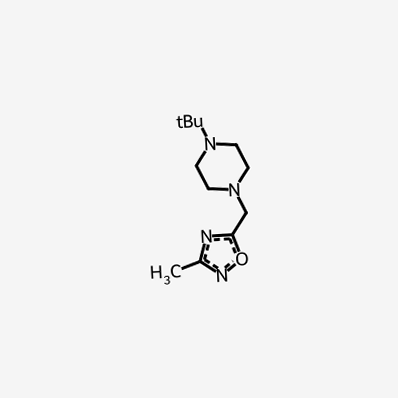 Cc1noc(CN2CCN(C(C)(C)C)CC2)n1